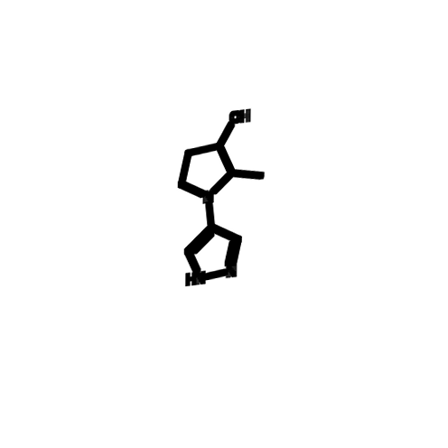 CC1C(O)CCN1c1cn[nH]c1